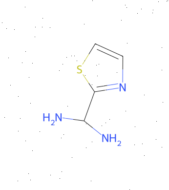 NC(N)c1nccs1